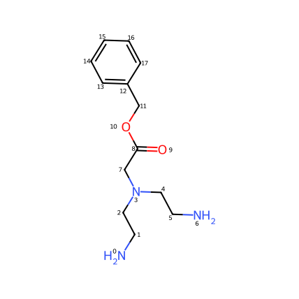 NCCN(CCN)CC(=O)OCc1ccccc1